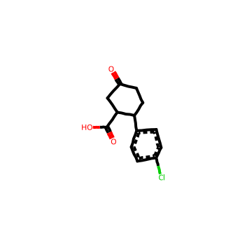 O=C1CCC(c2ccc(Cl)cc2)C(C(=O)O)C1